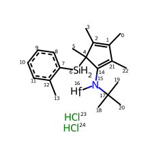 CC1=C(C)C(C)([SiH2]c2ccccc2C)C([N]([Hf])C(C)(C)C)=C1C.Cl.Cl